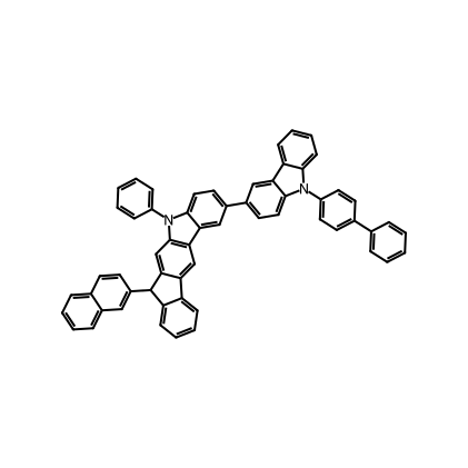 c1ccc(-c2ccc(-n3c4ccccc4c4cc(-c5ccc6c(c5)c5cc7c(cc5n6-c5ccccc5)C(c5ccc6ccccc6c5)c5ccccc5-7)ccc43)cc2)cc1